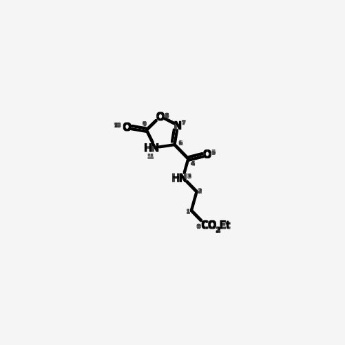 CCOC(=O)CCNC(=O)c1noc(=O)[nH]1